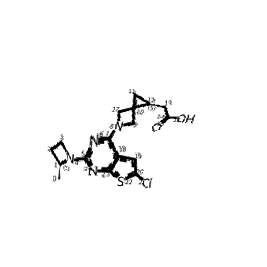 C[C@H]1CCN1c1nc(N2CC3(C[C@H]3CC(=O)O)C2)c2cc(Cl)sc2n1